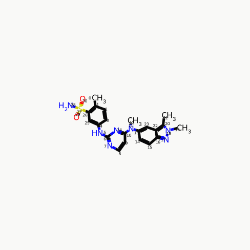 Cc1ccc(Nc2nccc(N(C)c3ccc4nn(C)c(C)c4c3)n2)cc1S(N)(=O)=O